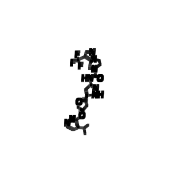 CC(C)c1ccnnc1O[C@H]1CO[C@@H](c2cc(NC(=O)N3CCn4ncc(C(F)(F)F)c4C3)n[nH]2)C1